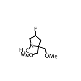 COCC1(COC)CC(F)CN1C